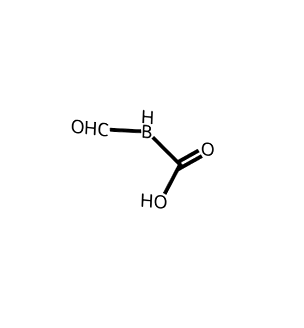 O=CBC(=O)O